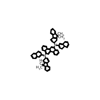 CC1(C)C2=C(C=CC(N(C3=CCC4C=CC=CC4=C3)c3cc4c5ccccc5c(N(c5ccc6ccccc6c5)C5C=CC6=C(C5)C(C)(C)c5ccccc56)cc4c4ccccc34)C2)c2ccccc21